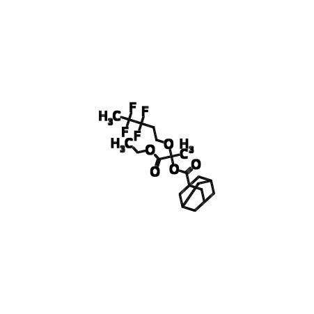 CCOC(=O)C(C)(OCCC(F)(F)C(C)(F)F)OC(=O)C12CC3CC(CC(C3)C1)C2